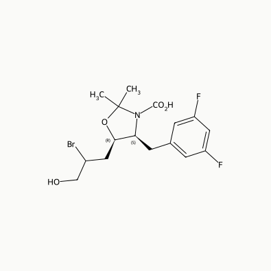 CC1(C)O[C@H](CC(Br)CO)[C@H](Cc2cc(F)cc(F)c2)N1C(=O)O